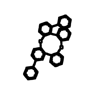 c1ccc(-c2ccc3c(c2)-c2ccccc2Oc2ccccc2-c2c(cccc2-c2ccccc2)O3)cc1